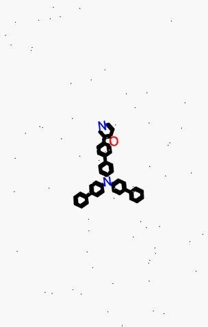 c1ccc(-c2ccc(N(c3ccc(-c4ccccc4)cc3)c3ccc(-c4ccc5c(c4)oc4ccncc45)cc3)cc2)cc1